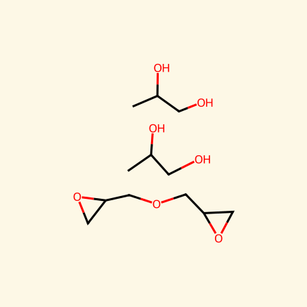 C(OCC1CO1)C1CO1.CC(O)CO.CC(O)CO